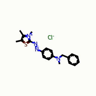 Cc1sc(/N=N/c2ccc(N(C)Cc3ccccc3)cc2)[n+](C)c1C.[Cl-]